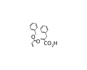 C=C(Cc1ccccc1)C(=O)O.C=CC(=O)OCc1ccccc1